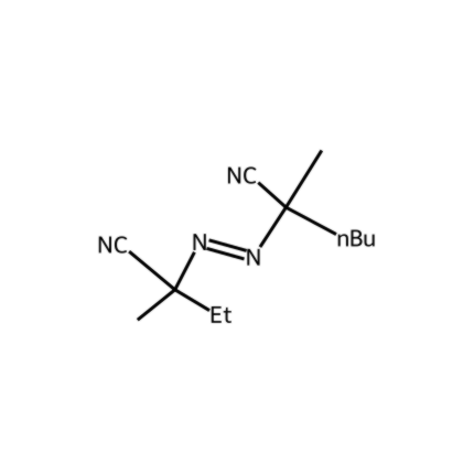 CCCCC(C)(C#N)/N=N/C(C)(C#N)CC